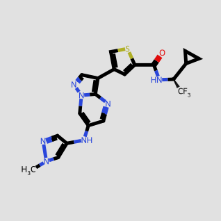 Cn1cc(Nc2cnc3c(-c4csc(C(=O)N[C@@H](C5CC5)C(F)(F)F)c4)cnn3c2)cn1